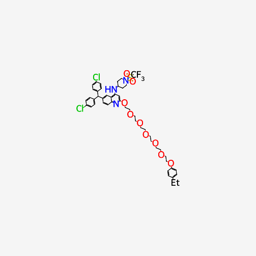 CCc1ccc(OCCOCCOCCOCCOCCOCCOc2cc(NC3CCN(S(=O)(=O)C(F)(F)F)CC3)c3cc(C(c4ccc(Cl)cc4)c4ccc(Cl)cc4)ccc3n2)cc1